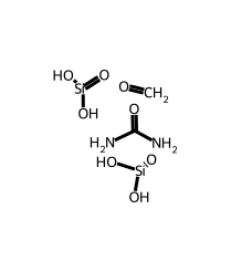 C=O.NC(N)=O.O=[Si](O)O.O=[Si](O)O